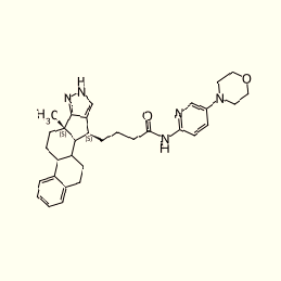 C[C@]12CCC3c4ccccc4CCC3C1[C@H](CCCC(=O)Nc1ccc(N3CCOCC3)cn1)c1c[nH]nc12